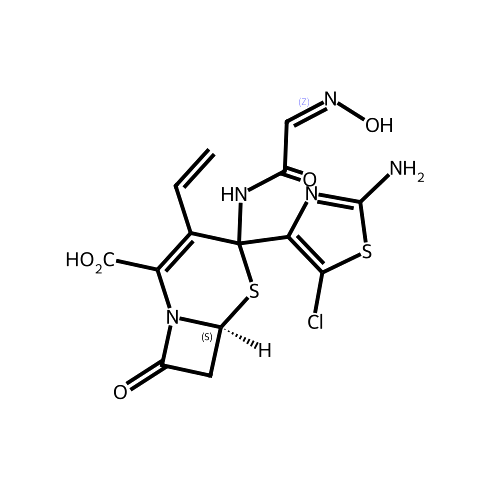 C=CC1=C(C(=O)O)N2C(=O)C[C@@H]2SC1(NC(=O)/C=N\O)c1nc(N)sc1Cl